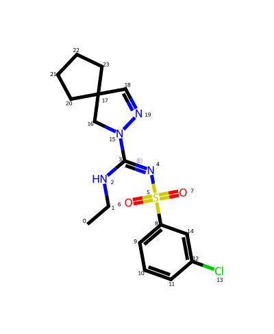 CCN/C(=N\S(=O)(=O)c1cccc(Cl)c1)N1CC2(C=N1)CCCC2